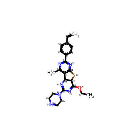 C=Cc1ccc(-c2nc(C)c3c(n2)SC2C(OCC)=NC(N4CCNCC4)=NC32)cc1